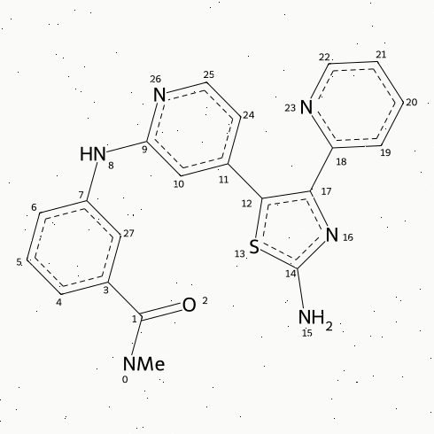 CNC(=O)c1cccc(Nc2cc(-c3sc(N)nc3-c3ccccn3)ccn2)c1